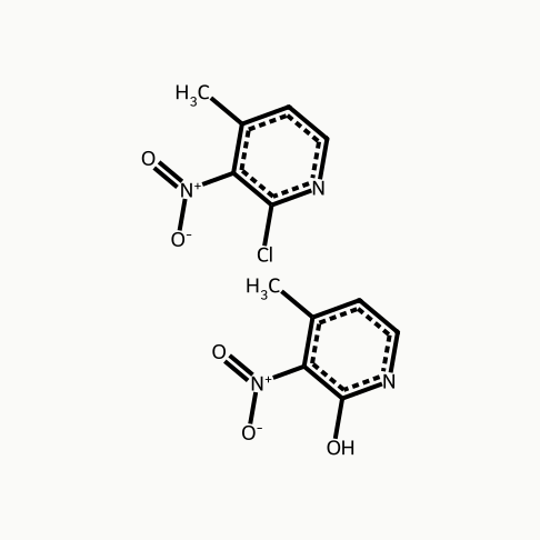 Cc1ccnc(Cl)c1[N+](=O)[O-].Cc1ccnc(O)c1[N+](=O)[O-]